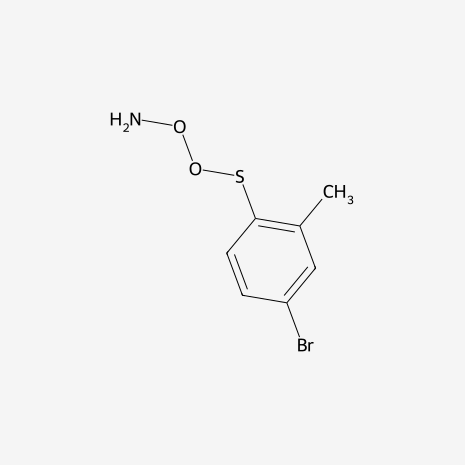 Cc1cc(Br)ccc1SOON